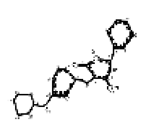 O=c1oc(-c2ccccc2)cc(O)c1Cc1cccc(SC2CCCCC2)c1